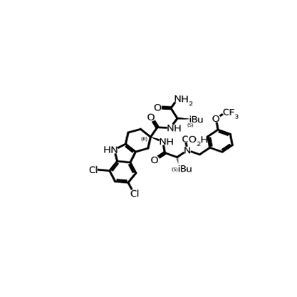 CC[C@H](C)C(NC(=O)[C@@]1(NC(=O)C([C@@H](C)CC)N(Cc2cccc(OC(F)(F)F)c2)C(=O)O)CCc2[nH]c3c(Cl)cc(Cl)cc3c2C1)C(N)=O